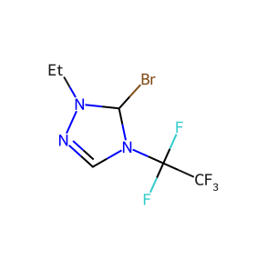 CCN1N=CN(C(F)(F)C(F)(F)F)C1Br